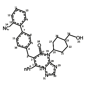 CCCc1c(Cc2ccc(-c3ccccc3C#N)cc2)c(=O)n(C2CCC(CO)CC2)c2ncnn12